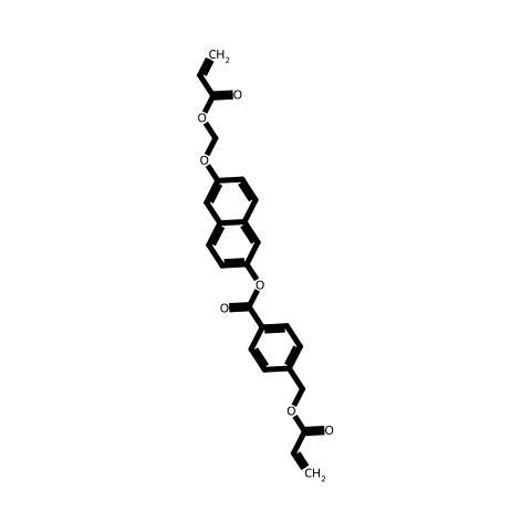 C=CC(=O)OCOc1ccc2cc(OC(=O)c3ccc(COC(=O)C=C)cc3)ccc2c1